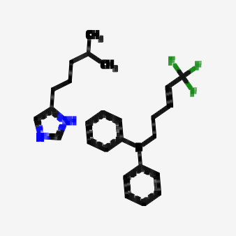 CC(C)CCCc1cnc[nH]1.FC(F)(F)C=CCCB(c1ccccc1)c1ccccc1